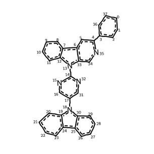 c1ccc(-c2cc3c4ccccc4n(-c4ncc(-n5c6ccccc6c6ccccc65)cn4)c3cn2)cc1